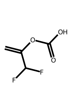 C=C(OC(=O)O)C(F)F